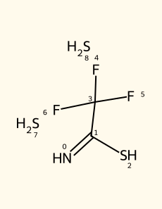 N=C(S)C(F)(F)F.S.S